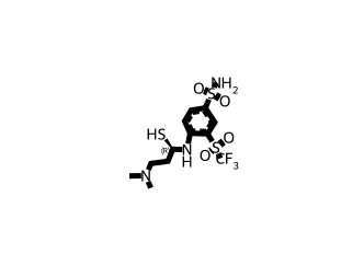 CN(C)CC[C@@H](S)Nc1ccc(S(N)(=O)=O)cc1S(=O)(=O)C(F)(F)F